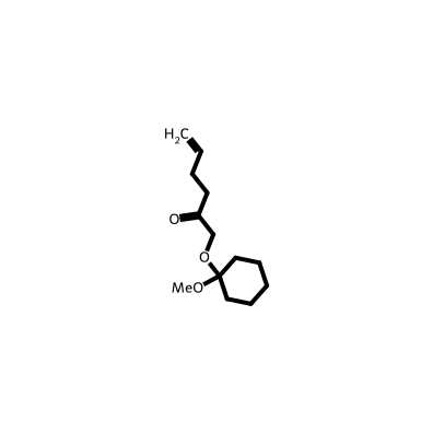 C=CCCC(=O)COC1(OC)CCCCC1